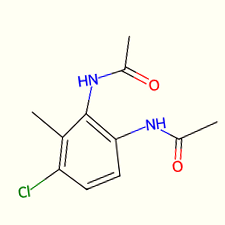 CC(=O)Nc1ccc(Cl)c(C)c1NC(C)=O